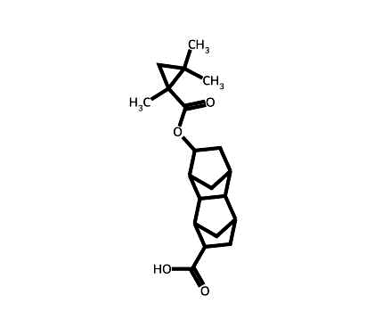 CC1(C)CC1(C)C(=O)OC1CC2CC1C1C3CC(CC3C(=O)O)C21